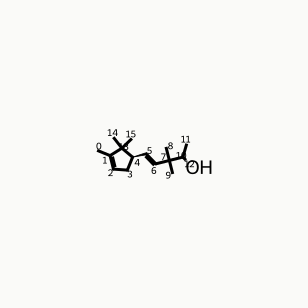 CC1=CC[C@H](C=CC(C)(C)C(C)O)C1(C)C